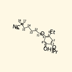 CCc1cc(OC(C)C)c(O)cc1OCCCCCC(C)(C)C#N